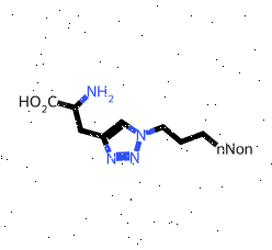 CCCCCCCCCCCCn1cc(CC(N)C(=O)O)nn1